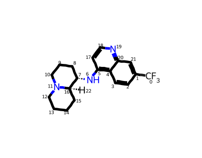 FC(F)(F)c1ccc2c(N[C@H]3CCCN4CCCC[C@H]34)ccnc2c1